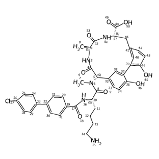 C[C@@H]1NC(=O)[C@@H](N(C)C(=O)[C@H](CCCCN)NC(=O)c2ccc(-c3ccc(Cl)cc3)cc2)c2ccc(O)c(c2)-c2cc(ccc2O)C[C@@H](C(=O)O)NC1=O